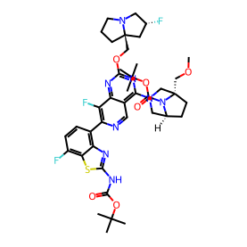 COC[C@@]12CC[C@@H](CN(c3nc(OC[C@@]45CCCN4C[C@H](F)C5)nc4c(F)c(-c5ccc(F)c6sc(NC(=O)OC(C)(C)C)nc56)ncc34)C1)N2C(=O)OC(C)(C)C